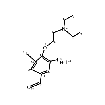 CCN(CC)CCOc1c(I)cc(C=O)cc1I.Cl